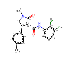 CN1C[C@H](c2ccc(C(F)(F)F)cc2)[C@@H](C(=O)Nc2cccc(F)c2Br)C1=O